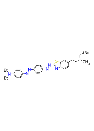 CCN(CC)c1ccc(/N=N/c2ccc(/N=N/c3nc4ccc(CCC(C)CC(C)(C)C)cc4s3)cc2)cc1